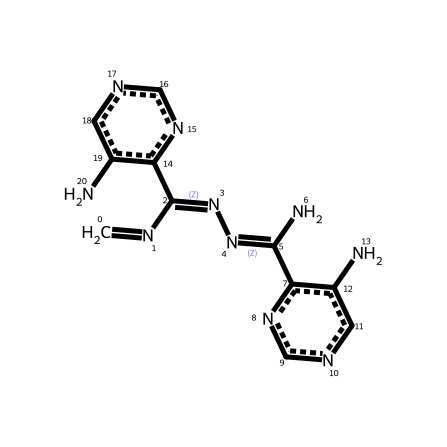 C=N/C(=N\N=C(/N)c1ncncc1N)c1ncncc1N